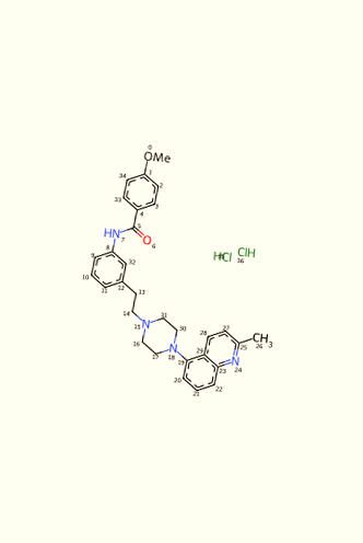 COc1ccc(C(=O)Nc2cccc(CCN3CCN(c4cccc5nc(C)ccc45)CC3)c2)cc1.Cl.Cl